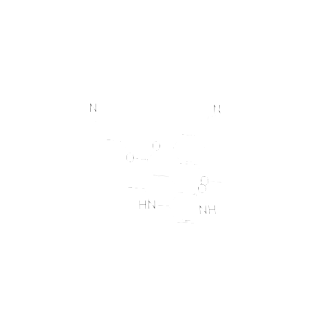 COc1cc(C#N)ccc1C1C(C(=O)OCCC#N)=C(C)Nc2cc[nH]c(=O)c21